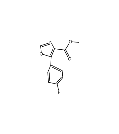 COC(=O)c1ncoc1-c1ccc(F)cc1